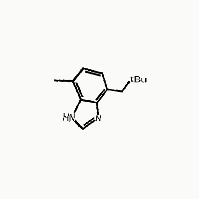 Cc1ccc(CC(C)(C)C)c2nc[nH]c12